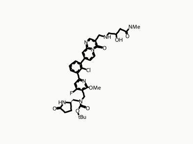 CNC(=O)CC(O)CNCc1cnc2cc(-c3cccc(-c4cc(F)c(CN(C[C@@H]5CCC(=O)N5)C(=O)OC(C)(C)C)c(OC)n4)c3Cl)ccn2c1=O